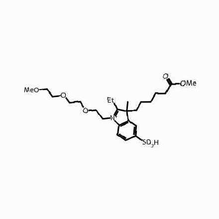 CCC1=[N+](CCOCCOCCOC)c2ccc(S(=O)(=O)O)cc2C1(C)CCCCCC(=O)OC